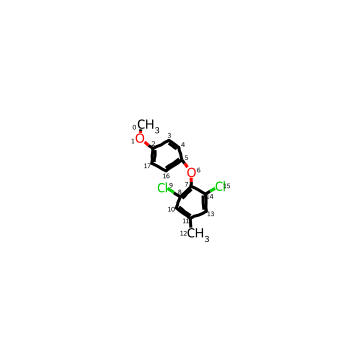 COc1ccc(Oc2c(Cl)cc(C)cc2Cl)cc1